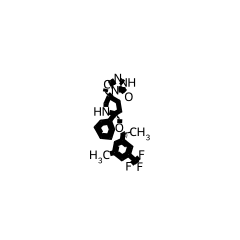 Cc1cc([C@@H](C)OC[C@@]2(c3ccccc3)CC[C@](CCl)(n3cn[nH]c3=O)CN2)cc(C(F)(F)F)c1